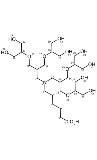 O=C(O)CCCCCN(CC(COC(CO)CO)COC(CO)CO)CC(COC(CO)CO)COC(CO)CO